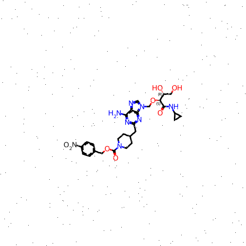 Nc1nc(CC2CCN(C(=O)OCc3ccc([N+](=O)[O-])cc3)CC2)nc2c1ncn2CO[C@H](C(=O)NC1CC1)[C@H](O)CO